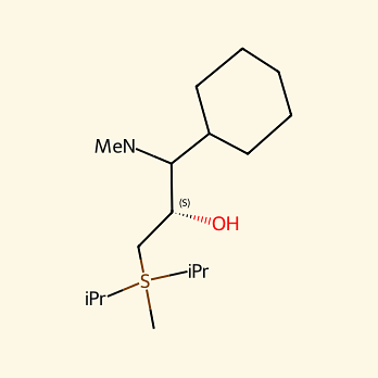 CNC(C1CCCCC1)[C@H](O)CS(C)(C(C)C)C(C)C